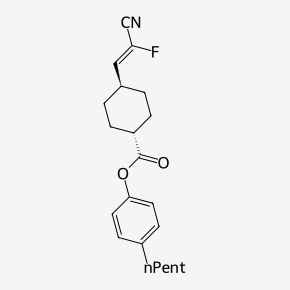 CCCCCc1ccc(OC(=O)[C@H]2CC[C@H](C=C(F)C#N)CC2)cc1